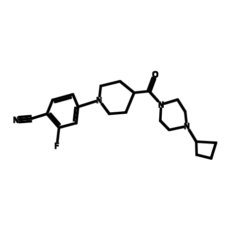 N#Cc1ccc(N2CCC(C(=O)N3CCN(C4CCC4)CC3)CC2)cc1F